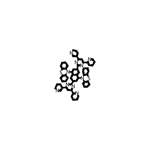 c1ccc(-c2cc(-c3cccnc3)nc(-c3cc(N4c5ccccc5Sc5ccccc54)c4cc(-c5nc(-c6cccnc6)cc(-c6ccccn6)n5)cc(N5c6ccccc6Sc6ccccc65)c4c3)n2)nc1